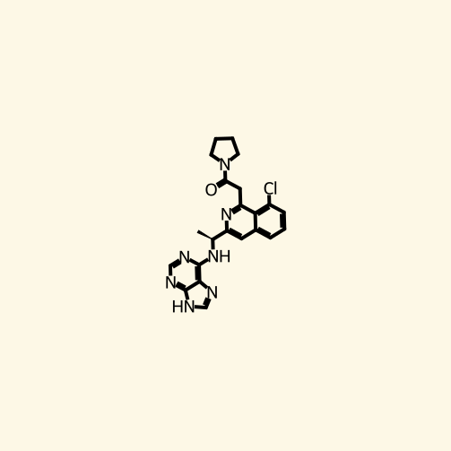 C[C@H](Nc1ncnc2[nH]cnc12)c1cc2cccc(Cl)c2c(CC(=O)N2CCCC2)n1